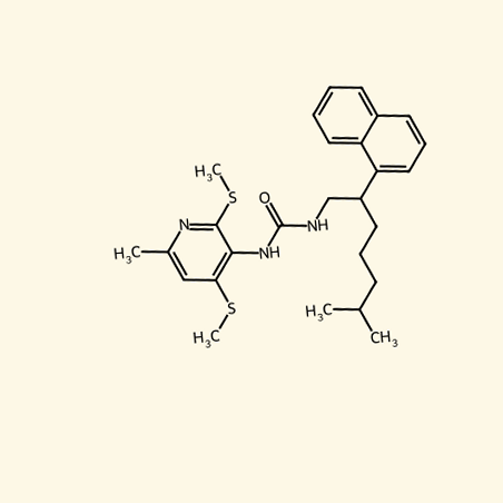 CSc1cc(C)nc(SC)c1NC(=O)NCC(CCCC(C)C)c1cccc2ccccc12